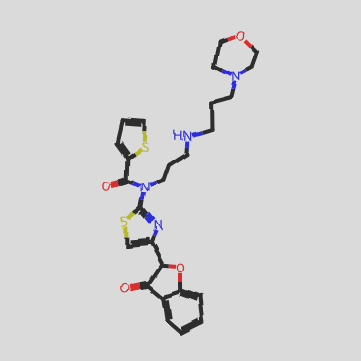 O=C1c2ccccc2OC1c1csc(N(CCCNCCCN2CCOCC2)C(=O)c2cccs2)n1